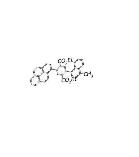 CCOC(=O)c1cc(-c2ccc3ccc4cccc5ccc2c3c45)c(C(=O)OCC)cc1-c1ccc(C)c2ccccc12